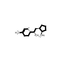 CC(=O)O[C@@H]1CCC[C@@H]1C[C@H](C)[C@H]1CC=C(C)CC1